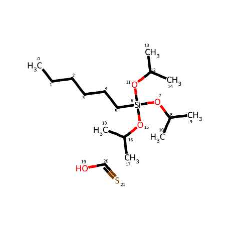 CCCCCC[Si](OC(C)C)(OC(C)C)OC(C)C.OC=S